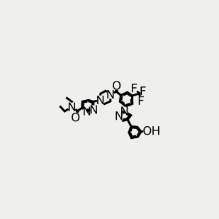 CCN(CC)C(=O)c1ccc(N2CCN(C(=O)c3cc(-n4cc(-c5cccc(O)c5)cn4)cc(C(F)(F)F)c3)CC2)nn1